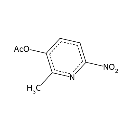 CC(=O)Oc1ccc([N+](=O)[O-])nc1C